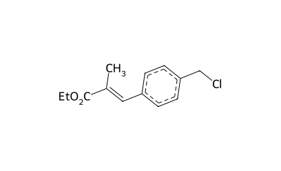 CCOC(=O)/C(C)=C/c1ccc(CCl)cc1